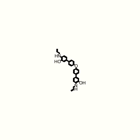 C=CCNc1ccc(-c2ccc(Oc3ccc(-c4ccc(NCC=C)c(O)c4)cc3)cc2)cc1O